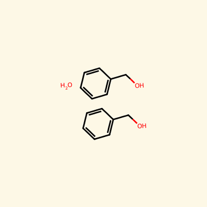 O.OCc1ccccc1.OCc1ccccc1